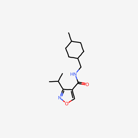 CC1CCC(CNC(=O)c2conc2C(C)C)CC1